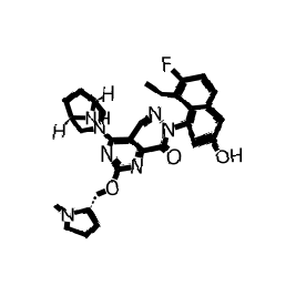 CCc1c(F)ccc2cc(O)cc(-n3ncc4c(N5C[C@H]6CC[C@@H](C5)N6)nc(OC[C@@H]5CCCN5C)nc4c3=O)c12